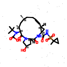 C[C@@H]1CCC=C[C@@H]2C[C@@]2(C(=O)NS(=O)(=O)C2(C)CC2)NC(=O)[C@@H]2C[C@@H](O)CN2C(=O)[C@@H](N(C(=O)O)C(C)(C)C)[C@H](C)C1